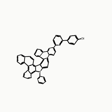 N#Cc1ccc(-c2cccc(-c3ccc4c(c3)c3ccccc3c3c4ccc4c3c3c5ccc6ccccc6c5c5ccccc5c3n4-c3ccccc3)c2)cc1